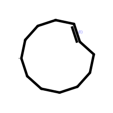 [CH]1CCC/C=C/CCCCCC1